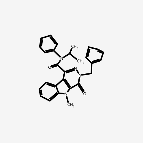 CC(C)N(C(=O)c1nn(Cc2ccccc2)c(=O)c2c1c1ccccc1n2C)c1ccccc1